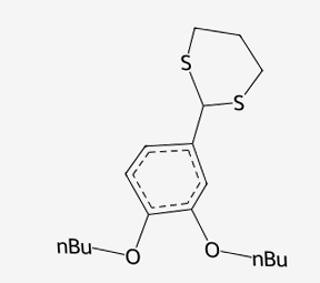 CCCCOc1ccc(C2SCCCS2)cc1OCCCC